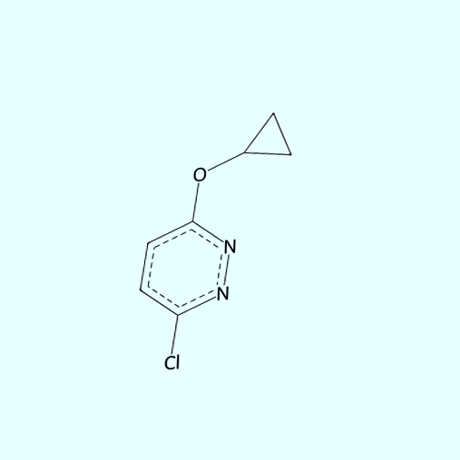 Clc1ccc(OC2CC2)nn1